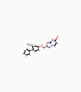 Cc1cc(OC[C@@H]2Cn3ccc(=O)nc3O2)ccc1-c1ccccc1